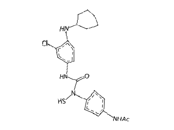 CC(=O)Nc1ccc(N(S)C(=O)Nc2ccc(NC3CCCCC3)c(Cl)c2)cc1